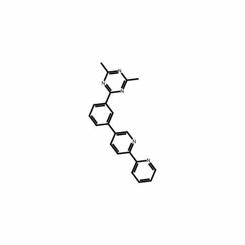 Cc1nc(C)nc(-c2cccc(-c3ccc(-c4ccccn4)nc3)c2)n1